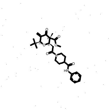 C=C1C(=O)[C@](C)(C(=O)OC)[C@@H](CC(=O)N2CCC(C(=O)Nc3ccccc3)CC2)O[C@H]1C(C)(C)C